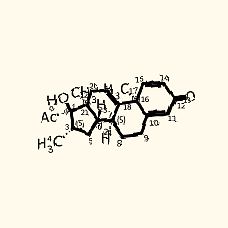 CC(=O)[C@@]1(O)[C@@H](C)C[C@H]2[C@@H]3CCC4=CC(=O)C=C[C@]4(C)C3=CC[C@@]21C